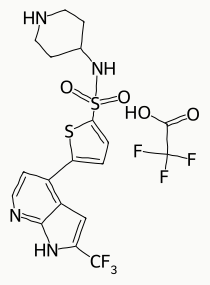 O=C(O)C(F)(F)F.O=S(=O)(NC1CCNCC1)c1ccc(-c2ccnc3[nH]c(C(F)(F)F)cc23)s1